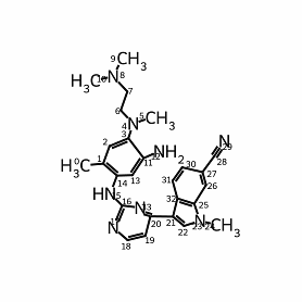 Cc1cc(N(C)CCN(C)C)c(N)cc1Nc1nccc(-c2cn(C)c3cc(C#N)ccc23)n1